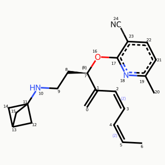 C=C(/C=C\C=C/C)[C@@H](CCNC12CC(C1)C2)Oc1nc(C)ccc1C#N